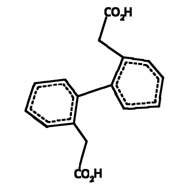 O=C(O)Cc1ccccc1-c1ccccc1CC(=O)O